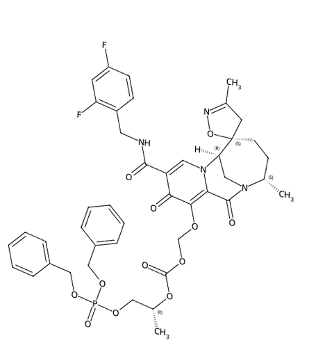 CC1=NO[C@@]2(CC[C@H](C)N3C[C@H]2n2cc(C(=O)NCc4ccc(F)cc4F)c(=O)c(OCOC(=O)O[C@H](C)COP(=O)(OCc4ccccc4)OCc4ccccc4)c2C3=O)C1